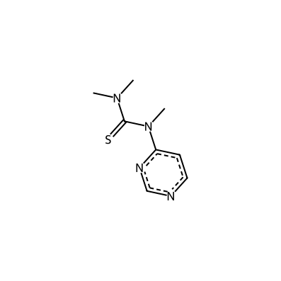 CN(C)C(=S)N(C)c1ccncn1